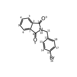 O=C1c2ccccc2C(=O)N1Cc1ccc(Br)cc1